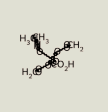 C=CC(=O)OCCCCCCOc1ccc(-c2cc(CCCCCCCCOc3ccc(N=Nc4ccc(N(C)C)cc4)cc3)c(-c3ccc(OCCCCCCOC(=O)C=C)cc3)c(C(=O)OC(=O)O)c2)cc1